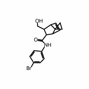 O=C(Nc1ccc(Br)cc1)C1C(CO)C2C=CC1C21CC1